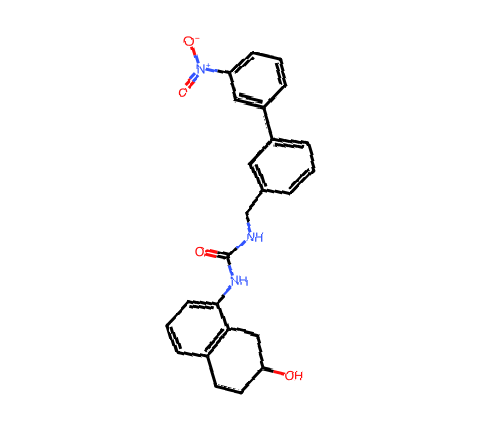 O=C(NCc1cccc(-c2cccc([N+](=O)[O-])c2)c1)Nc1cccc2c1CC(O)CC2